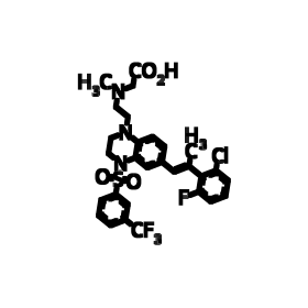 C/C(=C\c1ccc2c(c1)N(S(=O)(=O)c1cccc(C(F)(F)F)c1)CCN2CCN(C)CC(=O)O)c1c(F)cccc1Cl